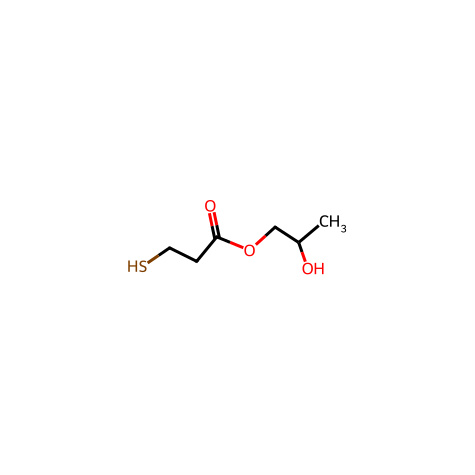 CC(O)COC(=O)CCS